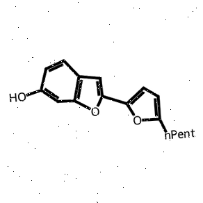 CCCCCc1ccc(-c2cc3ccc(O)cc3o2)o1